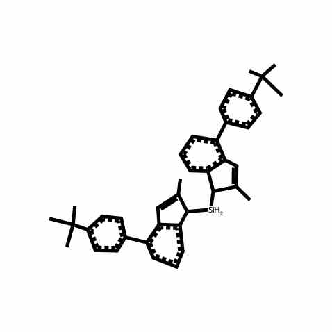 CC1=Cc2c(-c3ccc(C(C)(C)C)cc3)cccc2C1[SiH2]C1C(C)=Cc2c(-c3ccc(C(C)(C)C)cc3)cccc21